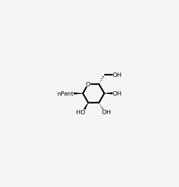 CCCCC[C@H]1O[C@H](CO)[C@@H](O)[C@H](O)[C@H]1O